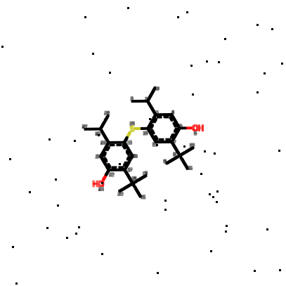 CC(C)c1cc(O)c(C(C)(C)C)cc1Sc1cc(C(C)(C)C)c(O)cc1C(C)C